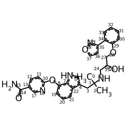 CC(C)(Cc1c[nH]c2c(Oc3ccc(C(N)=O)cn3)cccc12)NC[C@H](O)COc1ccccc1-c1ccon1